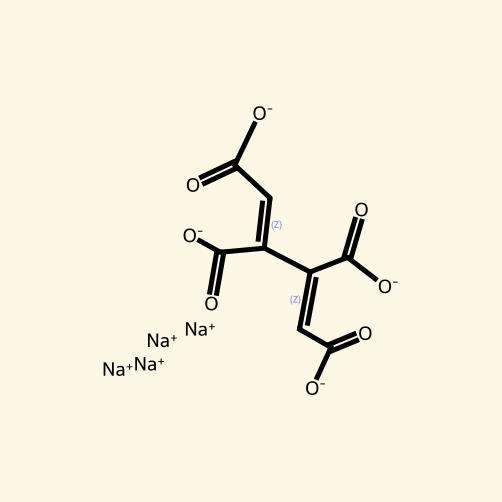 O=C([O-])/C=C(C(=O)[O-])/C(=C/C(=O)[O-])C(=O)[O-].[Na+].[Na+].[Na+].[Na+]